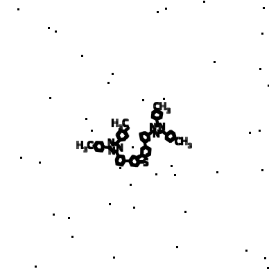 CCc1ccc(-c2nc(-c3ccc(C)cc3)nc(-c3cccc(-c4ccc5sc6ccc(-c7cccc(-c8nc(-c9ccc(C)cc9)nc(-c9ccc(C)cc9)n8)c7)cc6c5c4)c3)n2)cc1